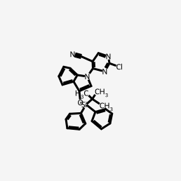 CC(C)(C)[Si](Oc1cn(-c2nc(Cl)ncc2C#N)c2ccccc12)(c1ccccc1)c1ccccc1